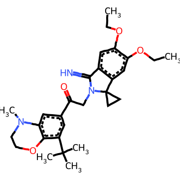 CCOc1cc2c(cc1OCC)C1(CC1)N(CC(=O)c1cc3c(c(C(C)(C)C)c1)OCCN3C)C2=N